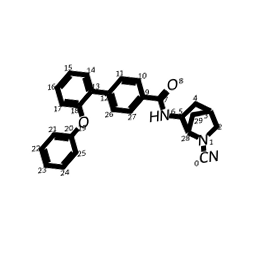 N#CN1CC2CC(NC(=O)c3ccc(-c4ccccc4Oc4ccccc4)cc3)C1C2